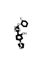 Oc1cc(-n2ccnc2)ccc1-c1nnc(O[C@H]2CCCC[C@H]2F)s1